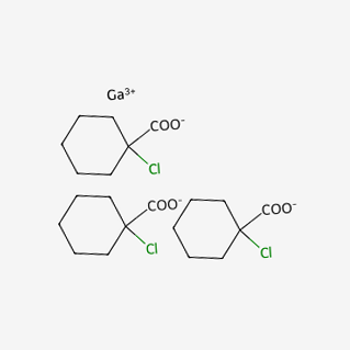 O=C([O-])C1(Cl)CCCCC1.O=C([O-])C1(Cl)CCCCC1.O=C([O-])C1(Cl)CCCCC1.[Ga+3]